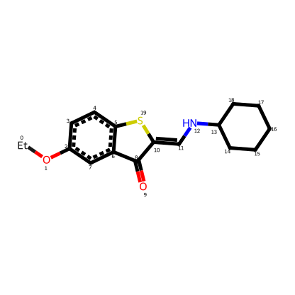 CCOc1ccc2c(c1)C(=O)C(=CNC1CCCCC1)S2